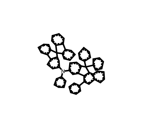 c1ccc(-c2cc3ccccc3c3c2-c2cc(N(c4ccccc4)c4ccc5c(c4)C4(c6ccccc6-c6ccccc64)c4ccccc4-5)ccc2C3(c2ccccc2)c2ccccc2)cc1